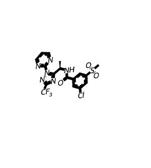 C[C@@H](NC(=O)c1cc(Cl)cc(S(C)(=O)=O)c1)c1nc(C(F)(F)F)nn1-c1ncccn1